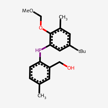 COCOc1c(C)cc(C(C)(C)C)cc1Pc1ccc(C)cc1CO